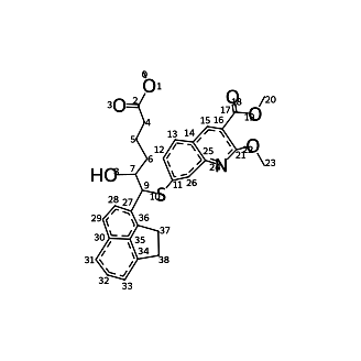 COC(=O)CCCC(O)C(Sc1ccc2cc(C(=O)OC)c(OC)nc2c1)c1ccc2cccc3c2c1CC3